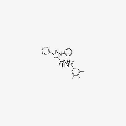 C=C(NNC(=C)c1cc(-c2ccccc2)nn1-c1ccccc1)c1cc(C)c(C)c(C)c1